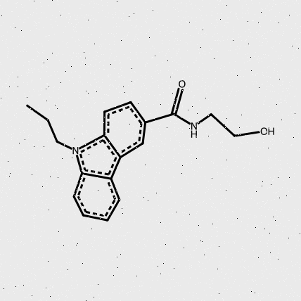 CCCn1c2ccccc2c2cc(C(=O)NCCO)ccc21